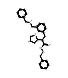 O=C(OOCc1ccccc1)C(Cc1cccc(COCc2ccccc2)c1)C1CCCO1